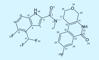 CN(C(=O)c1cc2c(C(F)F)c(F)ccc2[nH]1)[C@@H]1COCc2[nH]c(=O)c3cc(F)ccc3c21